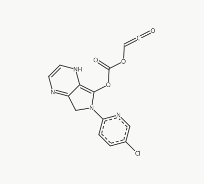 O=C=COC(=O)OC1=C2NC=CN=C2CN1c1ccc(Cl)cn1